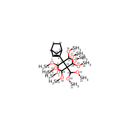 [SiH3]OC(O[SiH3])C(C1=CC2CCC1C2)(C(O[SiH3])O[SiH3])C(C(O[SiH3])O[SiH3])(C(O[SiH3])O[SiH3])C(O[SiH3])O[SiH3]